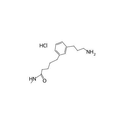 CNC(=O)CCCCc1cccc(CCCN)c1.Cl